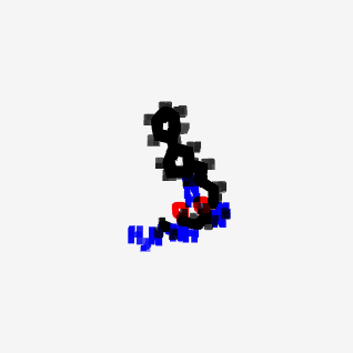 NCNC(=O)Cc1nnc(Cc2cc3cc(-c4ccccc4)ccc3[nH]2)o1